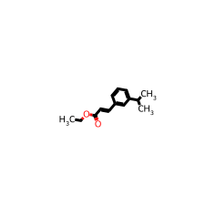 CCOC(=O)C=Cc1cccc(C(C)C)c1